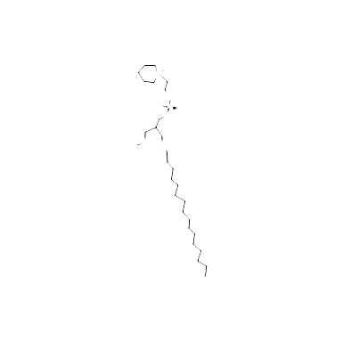 CCCCCCCCCCCCCCCCSCC(COC)COP(=O)(O)OCC[N+]1(C)CCCCC1